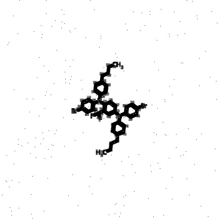 CCCCc1ccc(N(c2ccc(Br)cc2)c2ccc(N(c3ccc(Br)cc3)c3ccc(CCCC)cc3)c(C(F)(F)F)c2)cc1